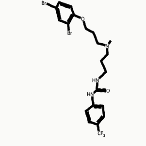 CN(CCCNC(=O)Nc1ccc(C(F)(F)F)cc1)CCCOc1ccc(Br)cc1Br